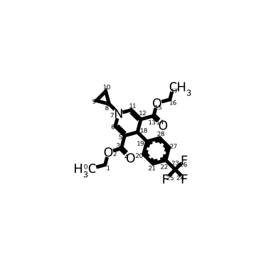 CCOC(=O)C1=CN(C2CC2)C=C(C(=O)OCC)C1c1ccc(C(F)(F)F)cc1